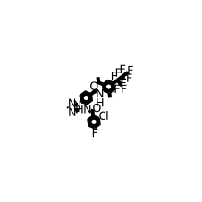 CCc1cc(C(F)(C(F)(F)F)C(F)(F)C(F)(F)F)cc(C)c1NC(=O)c1ccc(-n2cncn2)c(NC(=O)c2ccc(F)cc2Cl)c1